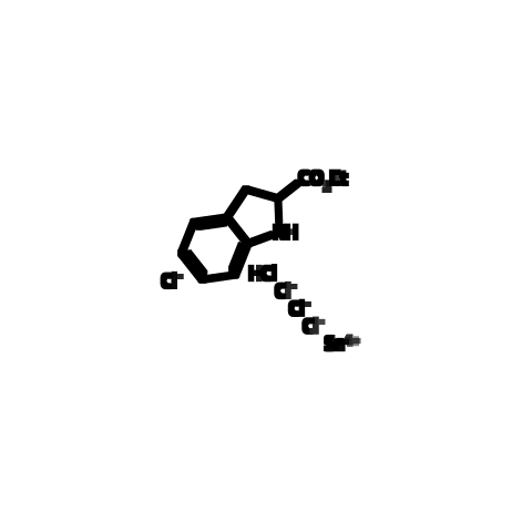 CCOC(=O)C1Cc2ccccc2N1.Cl.[Cl-].[Cl-].[Cl-].[Cl-].[Sn+4]